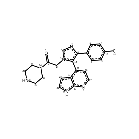 O=C(Cn1cnc(-c2ccc(Cl)cc2)c1-c1ccnc2[nH]ccc12)N1CCNCC1